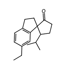 CCc1ccc2c(c1)C1(CC2)C(=O)CCC1C(C)C